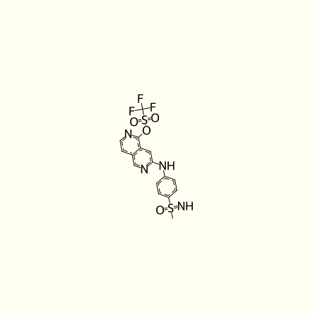 CS(=N)(=O)c1ccc(Nc2cc3c(OS(=O)(=O)C(F)(F)F)nccc3cn2)cc1